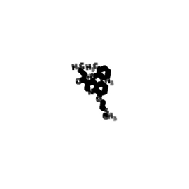 CCCC(=O)c1cnc2c(OCCSC)cccc2c1Nc1c(C)cccc1C